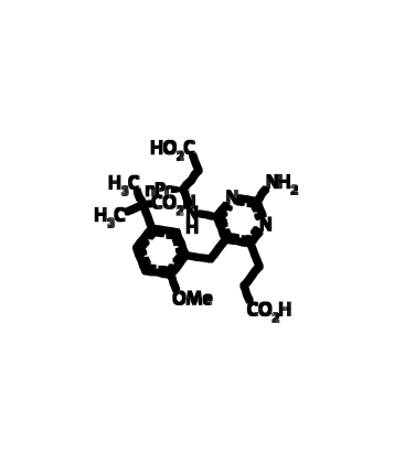 CCC[C@@H](CC(=O)O)Nc1nc(N)nc(CCC(=O)O)c1Cc1cc(C(C)(C)C(=O)O)ccc1OC